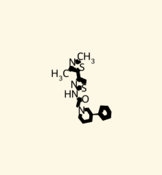 Cc1nc(C)c(-c2csc(NC(=O)CN3CCC[C@H](c4ccccc4)C3)n2)s1